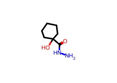 NNC(=O)C1(O)CCCCC1